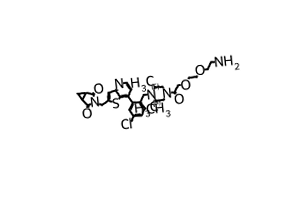 Cc1cc(Cl)cc(-c2ccnc3cc(CN4C(=O)C5CC5C4=O)sc23)c1CN1[C@@H](C)CN(C(=O)COCCOCCN)C[C@@H]1C